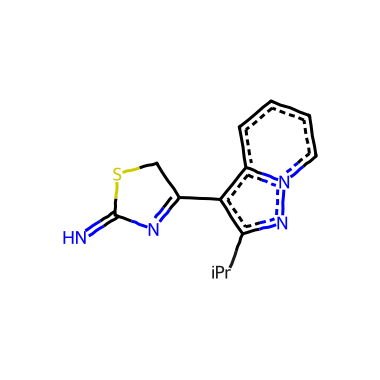 CC(C)c1nn2ccccc2c1C1=NC(=N)SC1